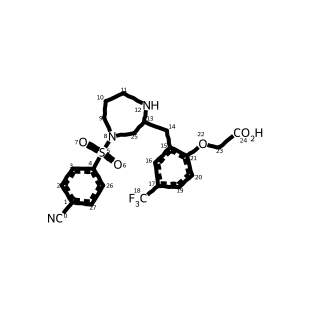 N#Cc1ccc(S(=O)(=O)N2CCCNC(Cc3cc(C(F)(F)F)ccc3OCC(=O)O)C2)cc1